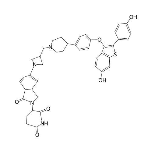 O=C1CCC(N2Cc3cc(N4CC(CN5CCC(c6ccc(Oc7c(-c8ccc(O)cc8)sc8cc(O)ccc78)cc6)CC5)C4)ccc3C2=O)C(=O)N1